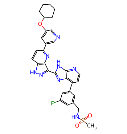 CS(=O)(=O)NCc1cc(F)cc(-c2ccnc3[nH]c(-c4n[nH]c5ccc(-c6cncc(OC7CCCCC7)c6)nc45)nc23)c1